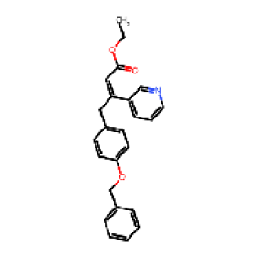 CCOC(=O)C=C(Cc1ccc(OCc2ccccc2)cc1)c1cccnc1